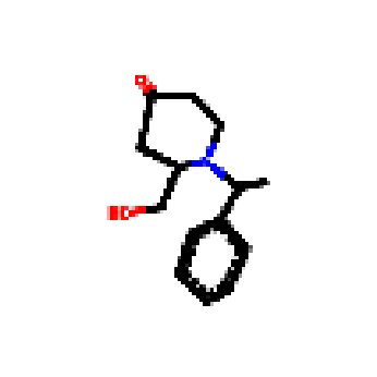 CC(c1ccccc1)N1CCC(=O)CC1CO